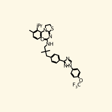 Cc1cccc(N2CCS/C2=N/C(=O)NCC(C)(C)Cc2ccc(-c3ncn(-c4ccc(OC(F)(F)F)cc4)n3)cc2)c1C(C)C